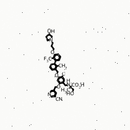 Cc1c(COc2cc(OCc3cncc(C#N)c3)c(CN[C@@](C)(CO)C(=O)O)cc2Cl)cccc1-c1cccc(OCCCN2CC[C@H](O)C2)c1C(F)(F)F